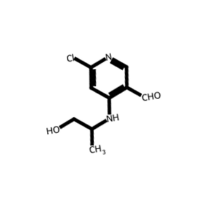 CC(CO)Nc1cc(Cl)ncc1C=O